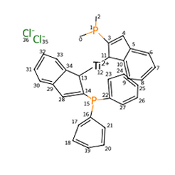 CP(C)C1=Cc2ccccc2[CH]1[Ti+2][CH]1C(P(c2ccccc2)c2ccccc2)=Cc2ccccc21.[Cl-].[Cl-]